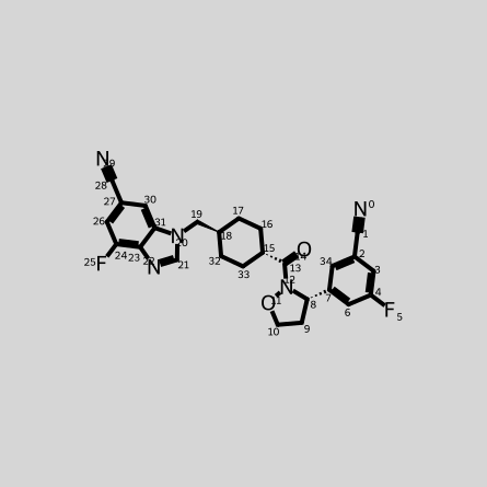 N#Cc1cc(F)cc([C@@H]2CCON2C(=O)[C@H]2CC[C@H](Cn3cnc4c(F)cc(C#N)cc43)CC2)c1